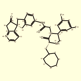 O=C(CN1C(=O)[C@@H](CC2CCCCCC2)NCC1c1cc(F)cc(F)c1)Nc1ccc2c(c1)C[C@@]1(C2)C(=O)Cc2ncccc21